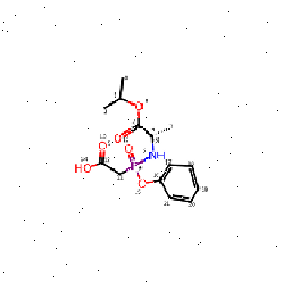 CC(C)OC(=O)[C@H](C)NP(=O)(CC(=O)O)Oc1ccccc1